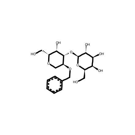 OC[C@H]1O[C@@H](O[C@H]2[C@@H](O)[C@@H](CO)OC[C@@H]2OCc2ccccc2)[C@H](O)[C@@H](O)[C@H]1O